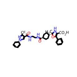 CC1([C@H]2CC[C@H](C(=O)NCCNC(=O)c3cn(-c4ccccc4)nc3C(F)(F)F)CC2)NC(C(=O)O)=C(c2ccccc2)O1